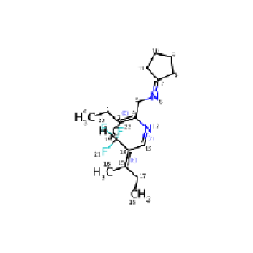 CC/C(C)=C(CN=C1CCCC1)/N=C\C(=C(\C)CC)C(F)(F)F